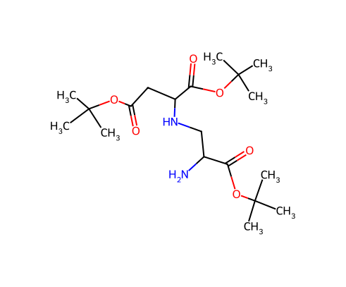 CC(C)(C)OC(=O)CC(NCC(N)C(=O)OC(C)(C)C)C(=O)OC(C)(C)C